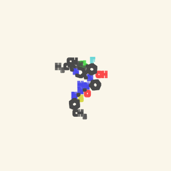 Cc1ccc2nc(NC(=O)Nc3ccccc3N3CC4(CCN(CC(C)(C)C)CC4)c4c(Cl)c(F)cc(O)c43)sc2c1